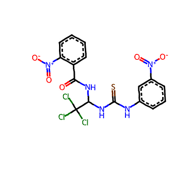 O=C(NC(NC(=S)Nc1cccc([N+](=O)[O-])c1)C(Cl)(Cl)Cl)c1ccccc1[N+](=O)[O-]